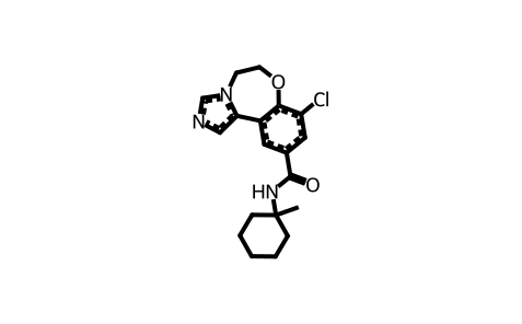 CC1(NC(=O)c2cc(Cl)c3c(c2)-c2cncn2CCO3)CCCCC1